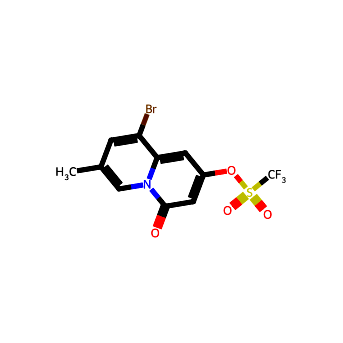 Cc1cc(Br)c2cc(OS(=O)(=O)C(F)(F)F)cc(=O)n2c1